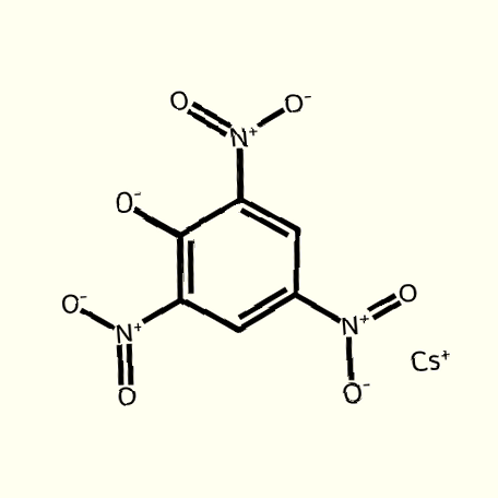 O=[N+]([O-])c1cc([N+](=O)[O-])c([O-])c([N+](=O)[O-])c1.[Cs+]